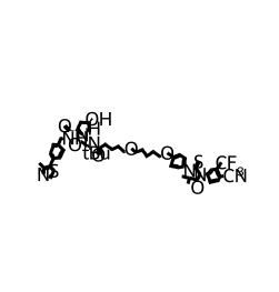 Cc1ncsc1-c1ccc(CNC(=O)[C@@H]2C[C@@H](O)CN2C(=O)C(NC(=O)CCCCOCCCCCOc2ccc(N3C(=S)N(c4ccc(C#N)c(C(F)(F)F)c4)C(=O)C3(C)C)cc2)C(C)(C)C)cc1